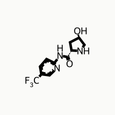 O=C(Nc1ccc(C(F)(F)F)cn1)[C@@H]1C[C@@H](O)CN1